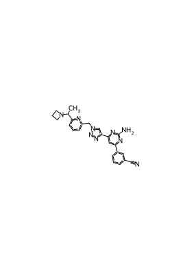 CC(c1cccc(Cn2cc(-c3cc(-c4cccc(C#N)c4)nc(N)n3)nn2)n1)N1CCC1